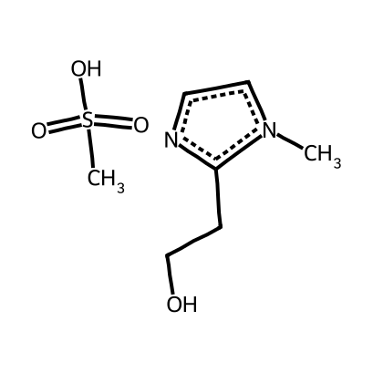 CS(=O)(=O)O.Cn1ccnc1CCO